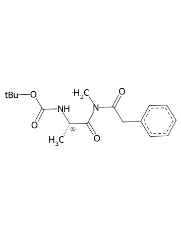 [CH2]N(C(=O)Cc1ccccc1)C(=O)[C@H](C)NC(=O)OC(C)(C)C